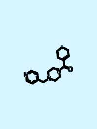 O=C(C1=CC[CH]C=C1)N1CCN(Cc2ccncc2)CC1